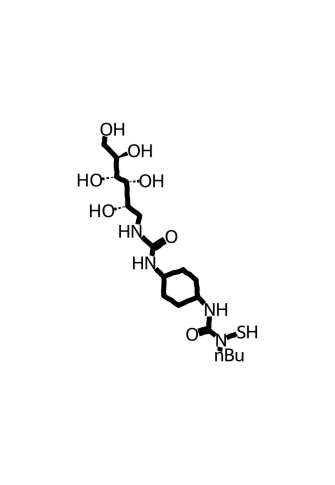 CCCCN(S)C(=O)NC1CCC(NC(=O)NC[C@H](O)[C@@H](O)[C@H](O)[C@H](O)CO)CC1